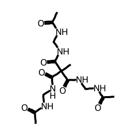 CC(=O)NCNC(=O)C(C)(C(=O)NCNC(C)=O)C(=O)NCNC(C)=O